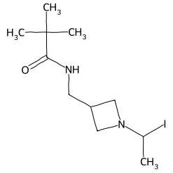 CC(I)N1CC(CNC(=O)C(C)(C)C)C1